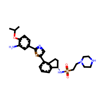 CC(C)Oc1ccc(-c2ncc(-c3cccc4c3CC[C@@H]4NS(=O)(=O)CCN3CCNCC3)s2)cc1N